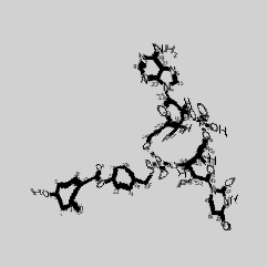 Cc1cc(O)ccc1C(=O)Oc1ccc(CS[P@]2(=O)OC[C@H]3O[C@@H](n4cnc5c(N)ncnc54)[C@H](OP(=O)(O)OC[C@H]4O[C@@H](n5ccc(=O)[nH]c5=O)[C@H](F)[C@@H]4O2)[C@@H]3F)cc1